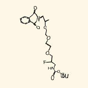 CC(CN1C(=O)c2ccccc2C1=O)OCCOCCOCC(F)CNC(=O)OC(C)(C)C